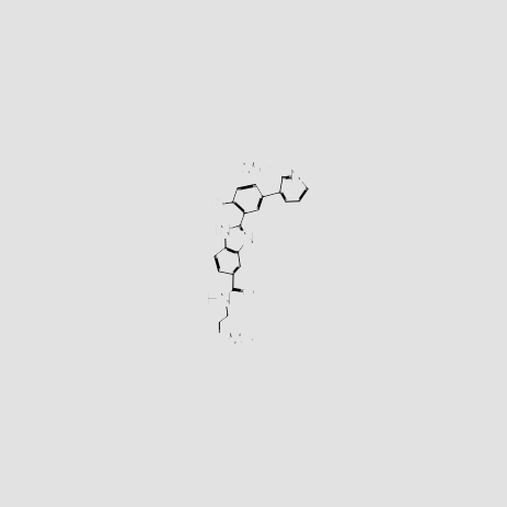 COCCNC(=O)c1ccc2[nH]c(-c3cc(-c4cccnc4OC)ccc3O)nc2c1